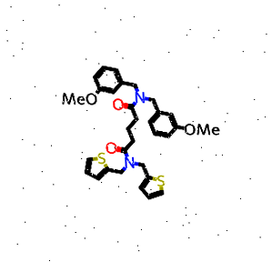 COc1cccc(CN(Cc2cccc(OC)c2)C(=O)CCCC(=O)N(Cc2cccs2)Cc2cccs2)c1